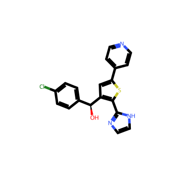 O[C@@H](c1ccc(Cl)cc1)c1cc(-c2ccncc2)sc1-c1ncc[nH]1